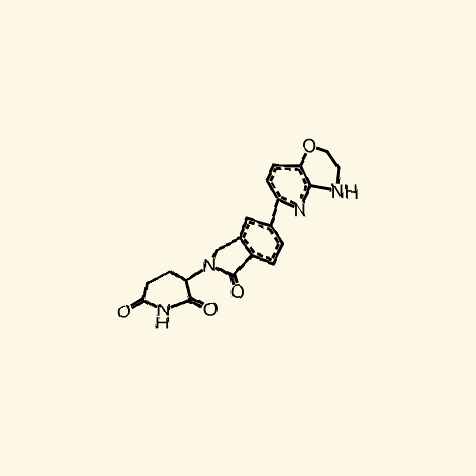 O=C1CCC(N2Cc3cc(-c4ccc5c(n4)NCCO5)ccc3C2=O)C(=O)N1